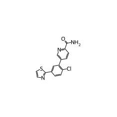 NC(=O)c1ccc(-c2cc(-c3nccs3)ccc2Cl)cn1